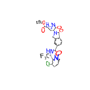 CC(C)(C)OC(=O)CCC(C(N)=O)N1Cc2cc(C(=O)N[C@H](c3ncccc3Cl)C(F)(F)F)ccc2C1=O